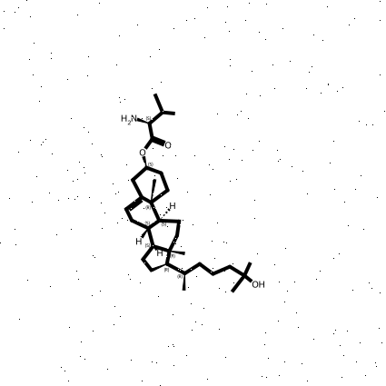 CC(C)[C@H](N)C(=O)O[C@H]1CC[C@@]2(C)C(=CC[C@H]3[C@@H]4CC[C@H]([C@H](C)CCCC(C)(C)O)[C@@]4(C)CC[C@@H]32)C1